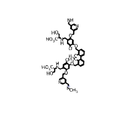 C/N=C/c1cncc(COc2cc(OCc3cccc(-c4cccc(COc5cc(OCc6cncc(C=N)c6)c(CN[C@H](CO)C(=O)O)cc5Cl)c4C)c3C)c(Cl)cc2CN[C@@H](CO)C(=O)O)c1